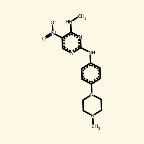 CNc1nc(Nc2ccc(N3CCN(C)CC3)cc2)ncc1[N+](=O)[O-]